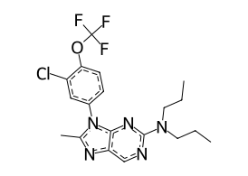 CCCN(CCC)c1ncc2nc(C)n(-c3ccc(OC(F)(F)F)c(Cl)c3)c2n1